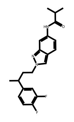 CC(C)C(=O)Nc1ccc2cn(CCC(C)c3ccc(F)c(F)c3)nc2c1